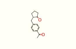 CC(=O)c1ccc(CC2CCCC2=O)cc1